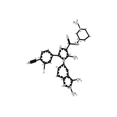 Cc1c2cc(-n3c(-c4ccc(C#N)c(I)c4)nc(C(=O)N[C@@H]4CCCN(C)C4)c3C)ccc2nn1C